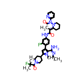 CC/N=C(/N)c1c(-c2ccc(NC(=O)/C(C)=C3\CCCCN3N(C=O)c3ccccn3)cc2F)cc(C2CCN(C(=O)C(C)(C)F)CC2)n1C